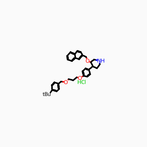 CC(C)(C)c1ccc(COCCCOc2ccc(C3CCNCC3OCc3ccc4ccccc4c3)cc2)cc1.Cl